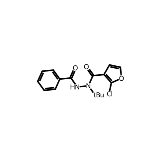 CC(C)(C)N(NC(=O)c1ccccc1)C(=O)c1ccoc1Cl